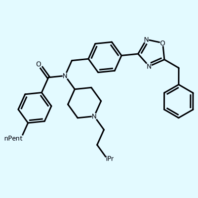 CCCCCc1ccc(C(=O)N(Cc2ccc(-c3noc(Cc4ccccc4)n3)cc2)C2CCN(CCC(C)C)CC2)cc1